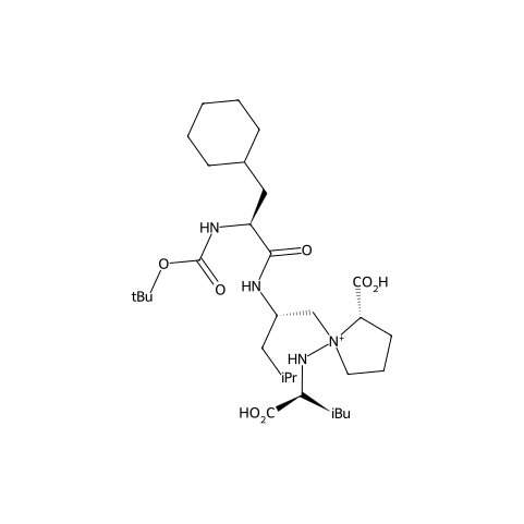 CC[C@H](C)[C@H](N[N+]1(C[C@H](CC(C)C)NC(=O)[C@H](CC2CCCCC2)NC(=O)OC(C)(C)C)CCC[C@H]1C(=O)O)C(=O)O